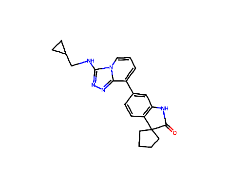 O=C1Nc2cc(-c3cccn4c(NCC5CC5)nnc34)ccc2C12CCCC2